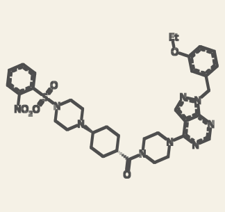 CCOc1cccc(Cn2ncc3c(N4CCN(C(=O)[C@H]5CC[C@H](N6CCN(S(=O)(=O)c7ccccc7[N+](=O)[O-])CC6)CC5)CC4)ncnc32)c1